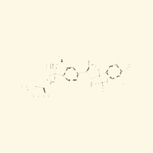 CS(=O)(=O)CC(=O)N1CC2(C1)NC(=O)c1cc(C3=NOC(c4cc(Cl)c(F)c(Cl)c4)(C(F)(F)F)C3)ccc12